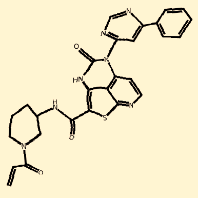 C=CC(=O)N1CCCC(NC(=O)c2sc3nccc4c3c2NC(=O)N4c2cc(-c3ccccc3)ncn2)C1